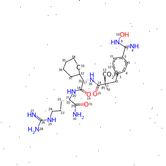 C[C@](Cc1ccc(C(=N)NO)cc1)(C(=O)O)C(=O)N[C@H](C(=O)N[C@@H](CCCNC(=N)N)C(N)=O)C1CCCCC1